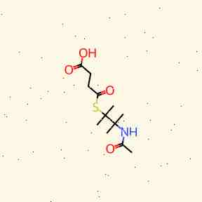 CC(=O)NC(C)(C)C(C)(C)SC(=O)CCC(=O)O